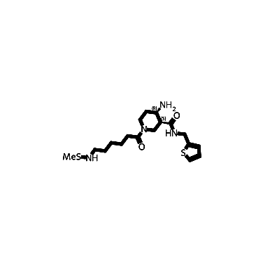 CSNCCCCCC(=O)N1CC[C@@H](N)[C@@H](C(=O)NCc2cccs2)C1